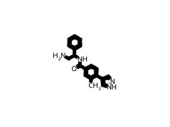 Cc1cc(C(=O)NC(CN)c2ccccc2)ccc1-c1cn[nH]c1